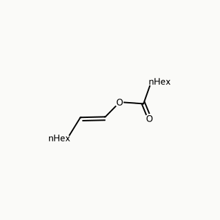 CCCCCCC=COC(=O)CCCCCC